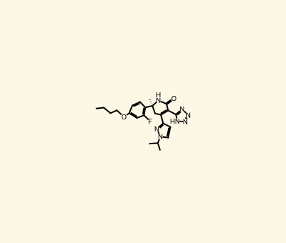 CCCCOc1ccc([C@]2(C)CC(c3ccn(C(C)C)n3)=C(c3nnn[nH]3)C(=O)N2)c(F)c1